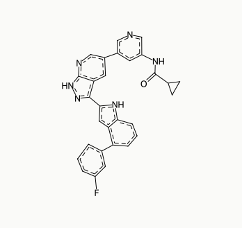 O=C(Nc1cncc(-c2cnc3[nH]nc(-c4cc5c(-c6cccc(F)c6)cccc5[nH]4)c3c2)c1)C1CC1